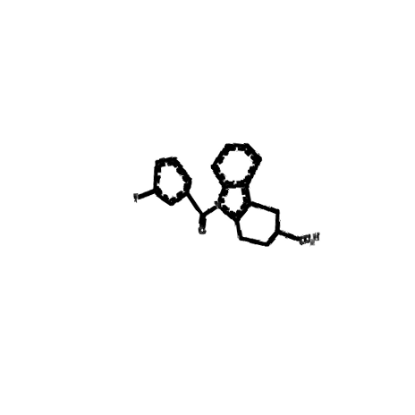 O=C(O)C1CCc2c(c3ccccc3n2C(=O)c2cccc(F)c2)C1